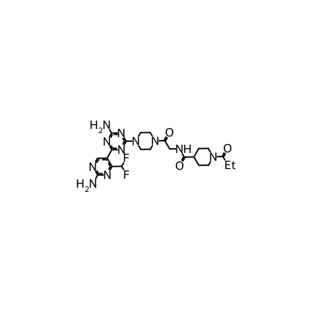 CCC(=O)N1CCC(C(=O)NCC(=O)N2CCN(c3nc(N)nc(-c4cnc(N)nc4C(F)F)n3)CC2)CC1